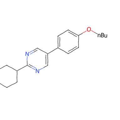 CCCCOc1ccc(-c2cnc(C3CCCCC3)nc2)cc1